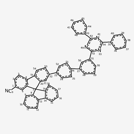 N#Cc1ccc2c(c1)C1(c3ccccc3-c3ccccc31)c1cc(-c3ccc(-c4cccc(-c5nc(-c6ccccc6)nc(-c6ccccc6)n5)c4)cc3)ccc1-2